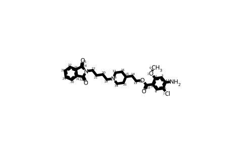 COc1cc(N)c(Cl)cc1C(=O)OCCC1CCN(CCCCN2C(=O)c3ccccc3C2=O)CC1